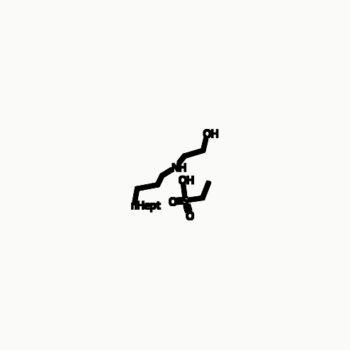 CCCCCCCCCCNCCO.CCS(=O)(=O)O